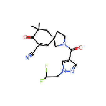 CC1(C)C[C@@]2(C=C(C#N)C1=O)CCN(C(=O)c1cnn(CC(F)F)c1)C2